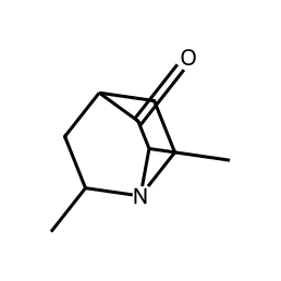 CC1CC2CCN1C(C)C2=O